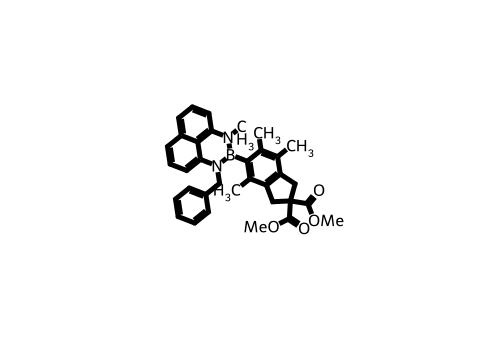 COC(=O)C1(C(=O)OC)Cc2c(C)c(C)c(B3N(C)c4cccc5cccc(c45)N3Cc3ccccc3)c(C)c2C1